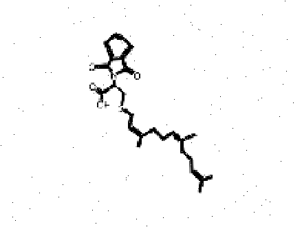 CC(C)=CCCC(C)=CCCC(C)=CCSC[C@@H](C(=O)O)N1C(=O)c2ccccc2C1=O